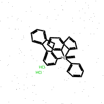 Cl.Cl.[CH2]=[Hf]([C]1=CC=CC1)([c]1ccccc1)([c]1ccccc1)[c]1cccc2c1Cc1ccccc1-2